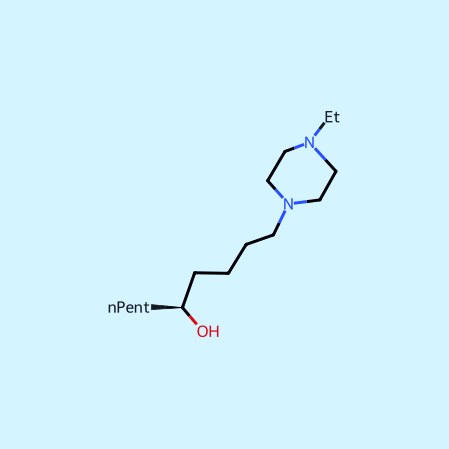 CCCCC[C@H](O)CCCCN1CCN(CC)CC1